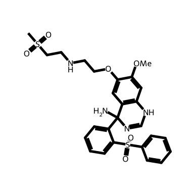 COc1cc2c(cc1OCCNCCS(C)(=O)=O)C(N)(c1ccccc1S(=O)(=O)c1ccccc1)N=CN2